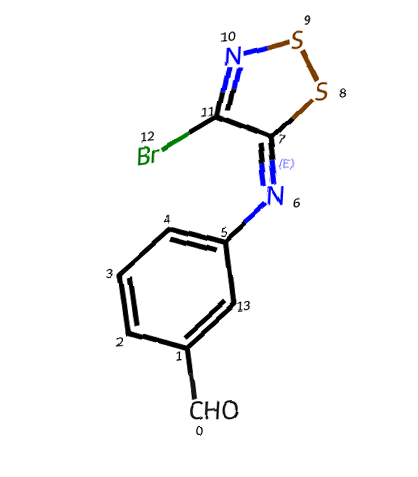 O=Cc1cccc(/N=c2/ssnc2Br)c1